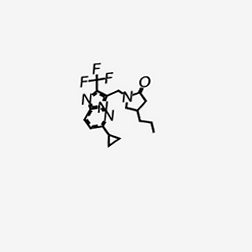 CCCC1CC(=O)N(Cc2c(C(F)(F)F)nc3ccc(C4CC4)nn23)C1